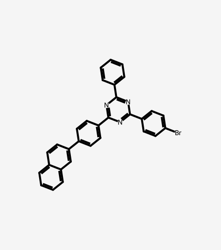 Brc1ccc(-c2nc(-c3ccccc3)nc(-c3ccc(-c4ccc5ccccc5c4)cc3)n2)cc1